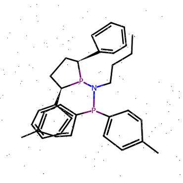 CCCCN(P(c1ccc(C)cc1)c1ccc(C)cc1)P1[C@@H](c2ccccc2)CC[C@H]1c1ccccc1